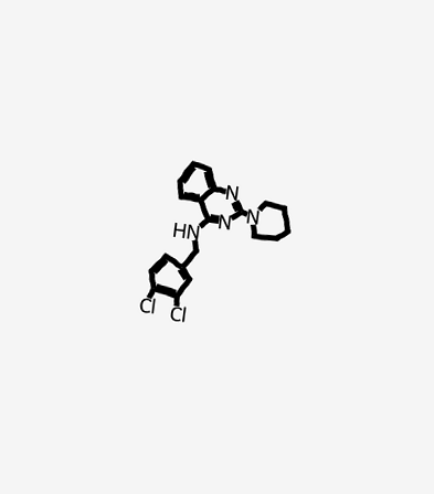 Clc1ccc(CNc2nc(N3CCCCC3)nc3ccccc23)cc1Cl